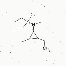 CCC(C)(CC)N(C)C1C(C)C1CN